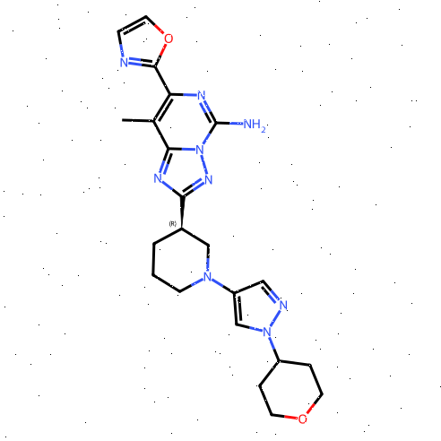 Cc1c(-c2ncco2)nc(N)n2nc([C@@H]3CCCN(c4cnn(C5CCOCC5)c4)C3)nc12